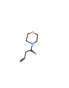 C=CCC(=S)N1CCOCC1